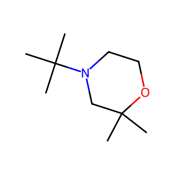 CC1(C)CN(C(C)(C)C)CCO1